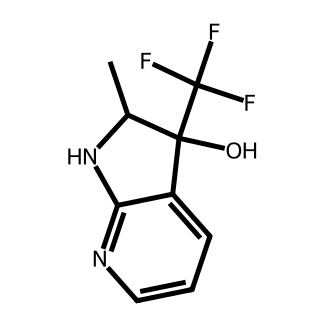 CC1Nc2ncccc2C1(O)C(F)(F)F